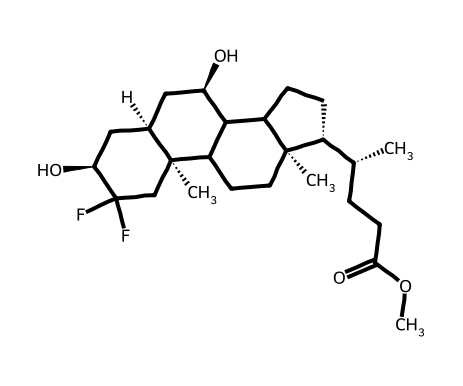 COC(=O)CC[C@@H](C)[C@H]1CCC2C3C(CC[C@@]21C)[C@@]1(C)CC(F)(F)[C@@H](O)C[C@H]1C[C@H]3O